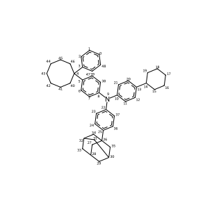 c1ccc(C2(c3ccc(N(c4ccc(C5CCCCC5)cc4)c4ccc(C56CC7CC(CC(C7)C5)C6)cc4)cc3)CCCCCCC2)cc1